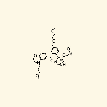 COCCCN1CCOc2ccc(CO[C@H]3CNC[C@@H](OC[C@@H](C)OC)[C@@H]3c3ccc(COCCOC)cc3)cc21